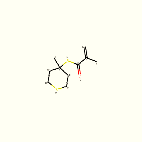 C=C(C)C(=O)SC1(C)CCSCC1